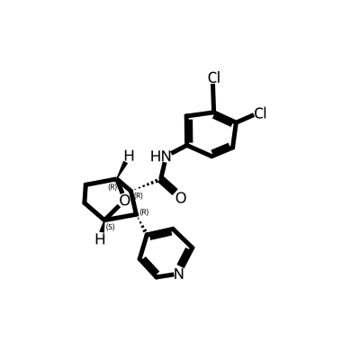 O=C(Nc1ccc(Cl)c(Cl)c1)[C@@H]1[C@H](c2ccncc2)[C@@H]2CC[C@H]1O2